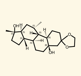 C[C@H]1C[C@H]2[C@@H](CC[C@]2(C)O)[C@@H]2CC[C@@]3(O)CC4(CC[C@@H]3[C@H]21)OCCO4